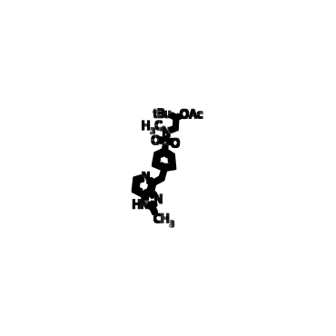 CC(=O)OC(CN(C)S(=O)(=O)c1ccc(Cc2nccc3[nH]c(C)nc23)cc1)C(C)(C)C